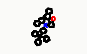 c1ccc([Si](c2ccccc2)(c2ccccc2)c2ccc(N(c3cccc4ccccc34)c3cccc4oc5c6ccccc6ccc5c34)cc2)cc1